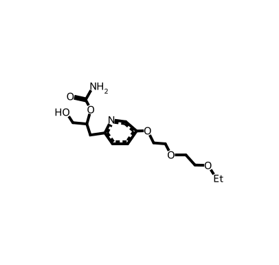 CCOCCOCCOc1ccc(CC(CO)OC(N)=O)nc1